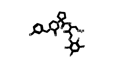 O=C(O)CC(NC(=O)C1(N2CCN(Cc3cccc(Cl)c3)C(=O)C2)CCCC1)C(=O)COc1c(F)c(F)cc(F)c1F